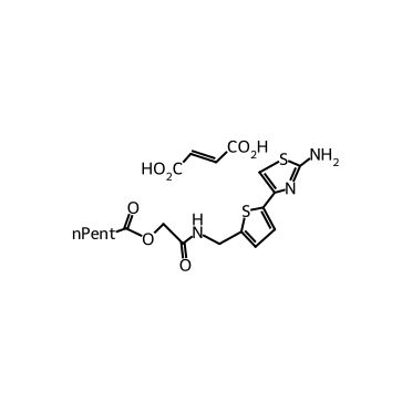 CCCCCC(=O)OCC(=O)NCc1ccc(-c2csc(N)n2)s1.O=C(O)C=CC(=O)O